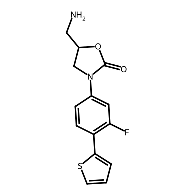 NCC1CN(c2ccc(-c3cccs3)c(F)c2)C(=O)O1